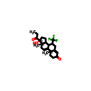 CCC(=O)[C@@]1(O)CCC2C3C(=CC[C@@]21C)[C@@]1(C)CCC(=O)C=C1CC3C(F)(F)F